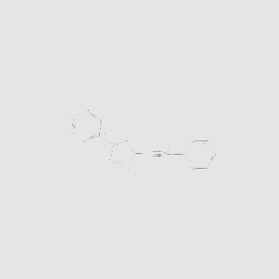 Fc1ccc(-n2cc(C#Cc3ncccn3)cn2)cn1